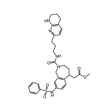 COC(=O)CC1CCN(C(=O)NCCCc2ccc3c(n2)NCCC3)Cc2cc(NS(=O)(=O)c3ccccc3)ccc21